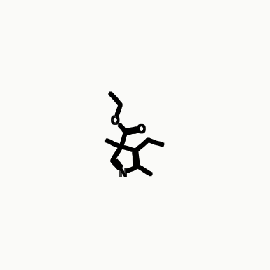 CCOC(=O)C1(C)C=NC(C)=C1CC